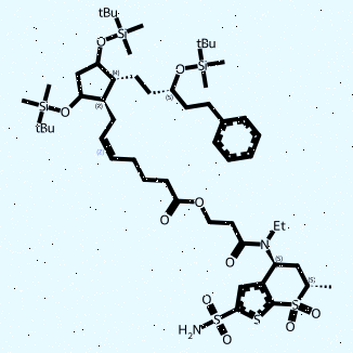 CCN(C(=O)CCOC(=O)CCC/C=C\C[C@H]1C(O[Si](C)(C)C(C)(C)C)CC(O[Si](C)(C)C(C)(C)C)[C@@H]1CC[C@@H](CCc1ccccc1)O[Si](C)(C)C(C)(C)C)[C@H]1C[C@H](C)S(=O)(=O)c2sc(S(N)(=O)=O)cc21